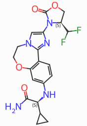 NC(=O)[C@@H](Nc1ccc2c(c1)OCCn1cc(N3C(=O)OC[C@H]3C(F)F)nc1-2)C1CC1